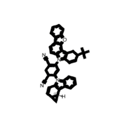 CC(C)(C)C1C=Cc2c(c3c4oc5ccccc5c4ccc3n2C2=C(C#N)CC(C#N)C(n3c4c(c5ccccc53)[C@H]3CC3C=C4)=C2)C1